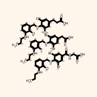 CCCNc1cccc(COc2c(Br)cc(C(=O)NCC(=O)O)cc2Br)c1Cl.CCCNc1cccc(COc2c(Br)cc(CC(=O)O)cc2Br)c1F.CCCNc1cccc(COc2c(Cl)cc(CCC(=O)O)cc2Cl)c1Cl